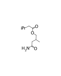 CC(C)CC(=O)OCC(C)CC(N)=O